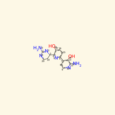 NC1=NC(c2nc(-c3ccnc(N)c3O)ccc2O)CC=N1